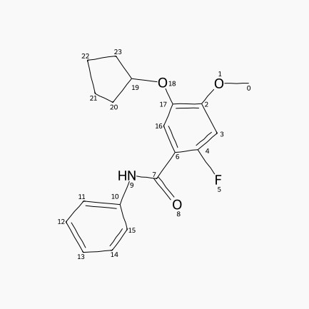 COc1cc(F)c(C(=O)Nc2ccccc2)cc1OC1CCCC1